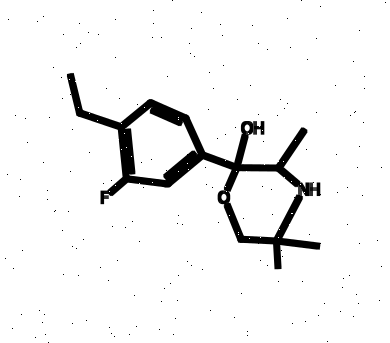 CCc1ccc(C2(O)OCC(C)(C)NC2C)cc1F